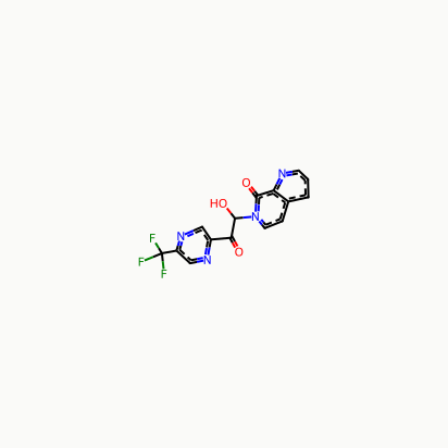 O=C(c1cnc(C(F)(F)F)cn1)C(O)n1ccc2cccnc2c1=O